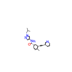 Cc1ccc(C(=O)Nc2cnn(CC(C)C)c2)cc1C#Cc1cccnc1